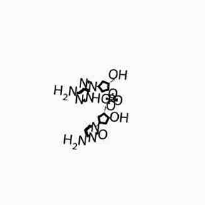 Nc1ccn([C@@H]2C[C@H](COP(=O)(O)O[C@H]3C[C@H](n4cnc5c(N)ncnc54)C[C@@H]3CO)[C@@H](O)C2)c(=O)n1